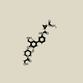 NCc1cc(-c2cccc(NC(=O)[C@@H]3C[C@@H]3C(N)=O)c2)ccc1O[C@H]1CCN(C(=O)CO)C[C@H]1F